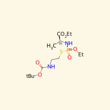 CCOC(=O)[C@H](C)N[P@](=O)(OCC)SCCNC(=O)OC(C)(C)C